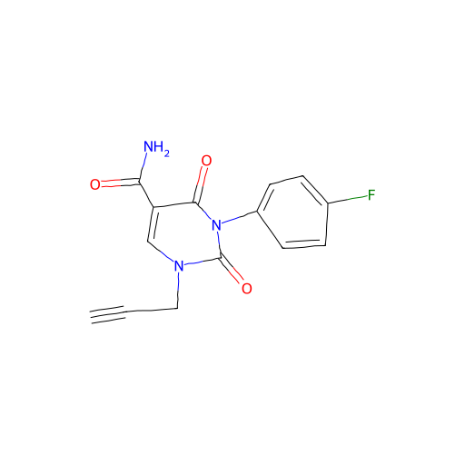 C#CCn1cc(C(N)=O)c(=O)n(-c2ccc(F)cc2)c1=O